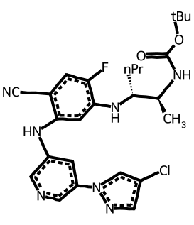 CCC[C@@H](Nc1cc(Nc2cncc(-n3cc(Cl)cn3)c2)c(C#N)cc1F)[C@H](C)NC(=O)OC(C)(C)C